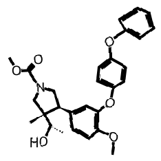 COC(=O)N1C[C@@H](c2ccc(OC)c(Oc3ccc(Oc4ccccc4)cc3)c2)[C@](C)([C@H](C)O)C1